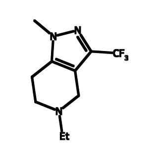 CCN1CCc2c(c(C(F)(F)F)nn2C)C1